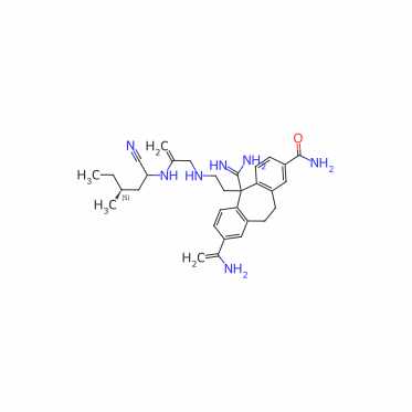 C=C(CNCCC1(C(=N)N)c2ccc(C(=C)N)cc2CCc2cc(C(N)=O)ccc21)NC(C#N)C[C@@H](C)CC